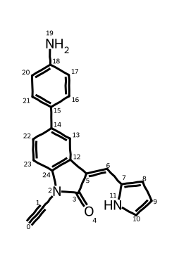 C#CN1C(=O)C(=Cc2ccc[nH]2)c2cc(-c3ccc(N)cc3)ccc21